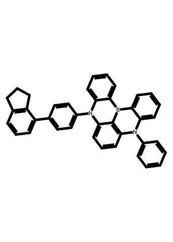 c1ccc(N2c3ccccc3B3c4ccccc4N(c4ccc(-c5cccc6c5CCC6)cc4)c4cccc2c43)cc1